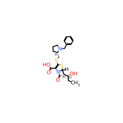 CC[C@H](O)[C@@H]1C(=O)N2C(C(=O)O)=C(SC[C@@H]3CCCN3Cc3ccccc3)S[C@H]12